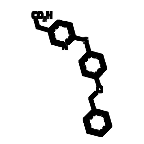 O=C(O)Cc1ccc(Sc2ccc(OCc3ccccc3)cc2)nc1